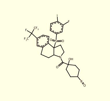 O=BC1CCC(O)(C(=O)N2CCC3(S(=O)(=O)c4ccc(I)c(F)c4)c4ccc(C(F)(C(F)(F)F)C(F)(F)F)cc4CCC23)CC1